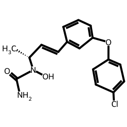 C[C@H](/C=C/c1cccc(Oc2ccc(Cl)cc2)c1)N(O)C(N)=O